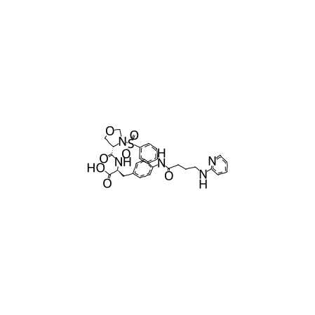 O=C(CCCNc1ccccn1)Nc1ccc(C[C@H](NC(=O)[C@@H]2COCN2S(=O)(=O)c2ccccc2)C(=O)O)cc1